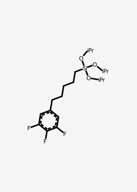 CC(C)O[Si](CCCCCc1cc(F)c(F)c(F)c1)(OC(C)C)OC(C)C